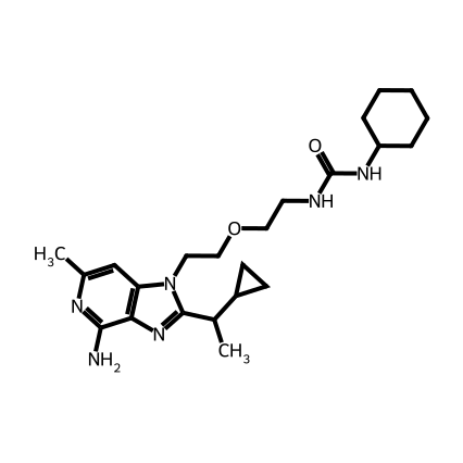 Cc1cc2c(nc(C(C)C3CC3)n2CCOCCNC(=O)NC2CCCCC2)c(N)n1